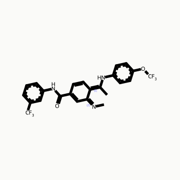 C/N=C1/C=C(C(=O)Nc2cccc(C(F)(F)F)c2)C=C/C1=C(/C)Nc1ccc(OC(F)(F)F)cc1